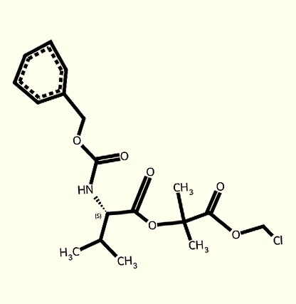 CC(C)[C@H](NC(=O)OCc1ccccc1)C(=O)OC(C)(C)C(=O)OCCl